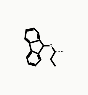 CC[C@@H](C)OC1c2ccccc2-c2ccccc21